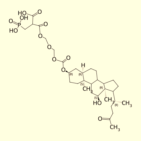 CC(=O)CC[C@@H](C)C1CCC2C3CC[C@@H]4C[C@H](OC(=O)OCOCOC(=O)C(CP(=O)(O)O)C(=O)O)CC[C@]4(C)C3C[C@H](O)[C@@]21C